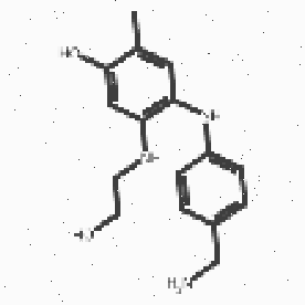 Cc1cc(Nc2ccc(CN)cc2)c(NCCO)cc1O